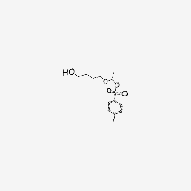 Cc1ccc(S(=O)(=O)OC(C)OCCCCO)cc1